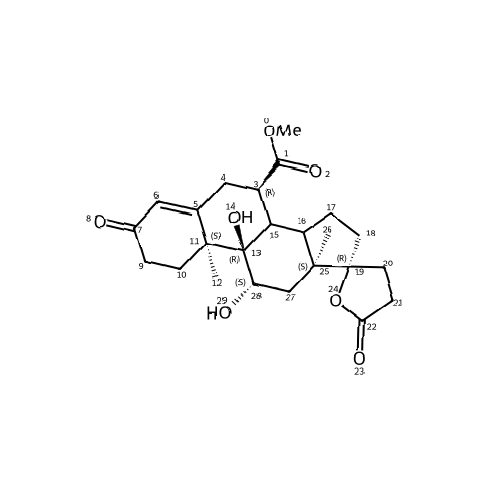 COC(=O)[C@@H]1CC2=CC(=O)CC[C@]2(C)[C@]2(O)C1C1CC[C@@]3(CCC(=O)O3)[C@@]1(C)C[C@@H]2O